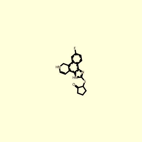 O=C1CCCC1Sc1nc2c([nH]1)c1c(c3cc(F)ccc32)CNC=C1